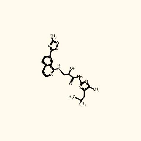 Cc1nc(-c2ccc3ccnc(NCC(O)C(=O)Nc4nc(C)c(CC(C)C)s4)c3c2)no1